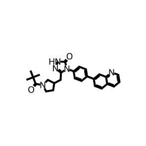 CC(C)(C)C(=O)N1CCC(Cc2n[nH]c(=O)n2-c2ccc(-c3ccc4cccnc4c3)cc2)C1